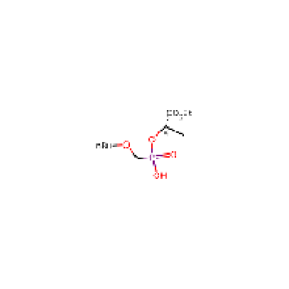 CCCCOCP(=O)(O)O[C@@H](C)C(=O)OCC